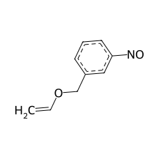 C=COCc1cccc(N=O)c1